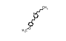 CCCCCc1ccc(CCc2ccc(OCC)cc2)cn1